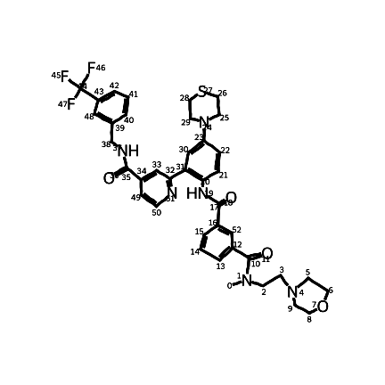 CN(CCN1CCOCC1)C(=O)c1cccc(C(=O)Nc2ccc(N3CCSCC3)cc2-c2cc(C(=O)NCc3cccc(C(F)(F)F)c3)ccn2)c1